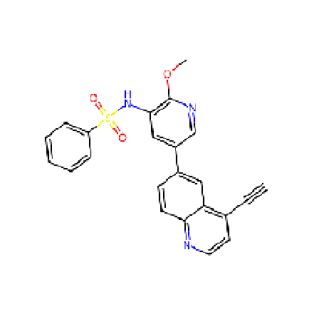 C#Cc1ccnc2ccc(-c3cnc(OC)c(NS(=O)(=O)c4ccccc4)c3)cc12